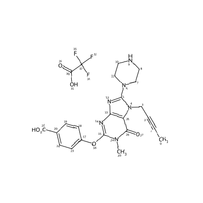 CC#CCn1c(N2CCNCC2)nc2nc(Oc3ccc(C(=O)O)cc3)n(C)c(=O)c21.O=C(O)C(F)(F)F